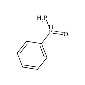 O=[PH](P)c1ccccc1